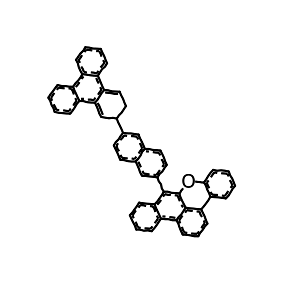 C1=c2c(c3ccccc3c3ccccc23)=CC(c2ccc3cc(-c4c5c6c(cccc6c6ccccc46)-c4ccccc4O5)ccc3c2)C1